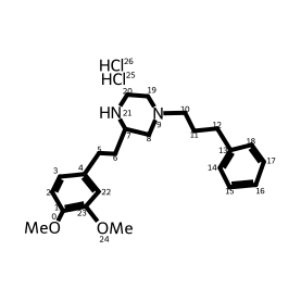 COc1ccc(CCC2CN(CCCc3ccccc3)CCN2)cc1OC.Cl.Cl